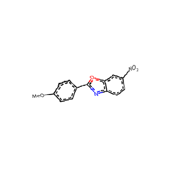 COc1ccc(-c2nc3ccc([N+](=O)[O-])cc3o2)cc1